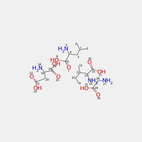 CC(C)CC(N)C(=O)O.CCC(C)C(N)C(=O)O.NC(CC(=O)O)C(=O)O.NCC(=O)O